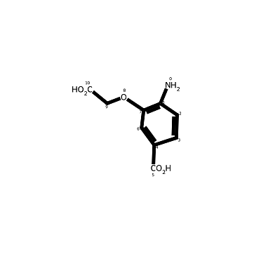 Nc1ccc(C(=O)O)cc1OCC(=O)O